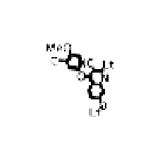 CCOc1ccc2c(Oc3ccc(OC)c(Cl)c3)c(C#N)c(CC)nc2c1